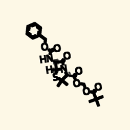 CC(C)(C)C(=O)OCOC(=O)[C@@H]1N2C(=O)[C@@H](NC(=O)OCc3ccccc3)[C@H]2SC1(C)C